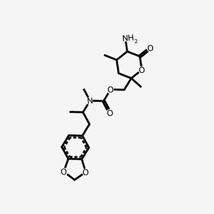 CC1CC(C)(COC(=O)N(C)C(C)Cc2ccc3c(c2)OCO3)OC(=O)C1N